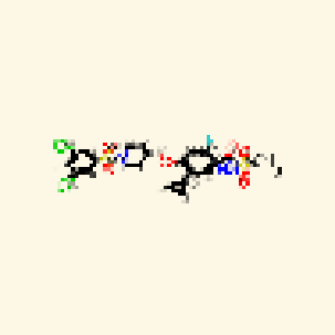 CS(=O)(=O)NC(=O)c1cc(C2CC2)c(OCC2CCN(S(=O)(=O)c3cc(Cl)cc(Cl)c3)CC2)cc1F